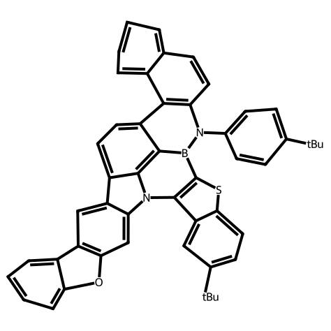 CC(C)(C)c1ccc(N2B3c4sc5ccc(C(C)(C)C)cc5c4-n4c5cc6oc7ccccc7c6cc5c5ccc(c3c54)-c3c2ccc2ccccc32)cc1